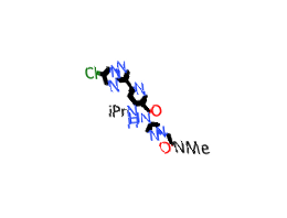 CNC(=O)Cn1cc(NC(=O)c2cnc(-c3cnn4cc(Cl)cnc34)cc2NC(C)C)cn1